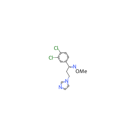 CON=C(CCn1ccnc1)c1ccc(Cl)c(Cl)c1